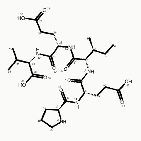 CC[C@H](C)[C@H](NC(=O)[C@H](CCC(=O)O)NC(=O)[C@@H]1CCCN1)C(=O)N[C@@H](CCC(=O)O)C(=O)N[C@H](C(=O)O)C(C)C